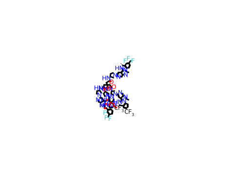 Cc1nc(N[C@H](C)c2cccc(C(F)(F)F)c2)c2cc(N3CC[C@@H](NC(=O)CC(CC(=O)N[C@@H]4CCN(c5cc6c(N[C@H](C)c7cccc(C(F)F)c7F)nc(C)nc6cn5)C4)(CC(=O)N[C@H]4CCN(c5cc6c(N[C@H](C)c7cccc(C(F)(F)F)c7)nc(C)nc6cn5)C4)C(=O)N[C@H]4CCN(c5cc6c(N[C@H](C)c7cccc(C(F)F)c7F)nc(C)nc6cn5)C4)C3)ncc2n1